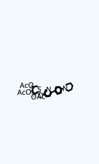 CC(=O)O[C@@H]1[C@@H](OC(C)=O)[C@H](OC(C)=O)CS[C@H]1Oc1ccc(-c2ccc(N3CCCCC3)cc2)nc1